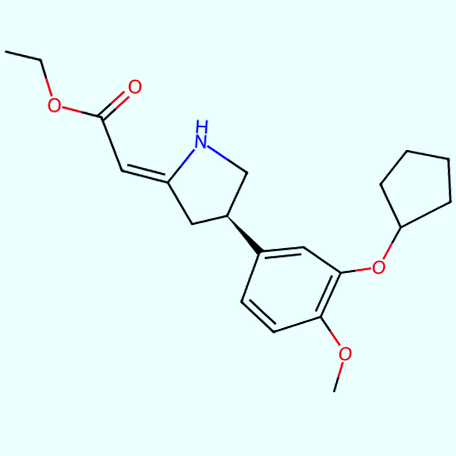 CCOC(=O)C=C1C[C@H](c2ccc(OC)c(OC3CCCC3)c2)CN1